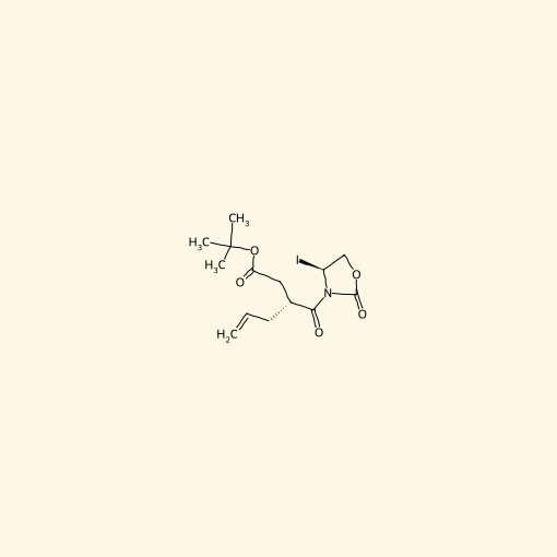 C=CC[C@H](CC(=O)OC(C)(C)C)C(=O)N1C(=O)OC[C@@H]1I